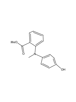 COC(=O)c1ccccc1N(C)c1ccc(O)cc1